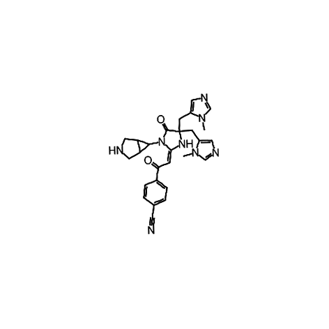 Cn1cncc1CC1(Cc2cncn2C)NC(=CC(=O)c2ccc(C#N)cc2)N(C2C3CNCC32)C1=O